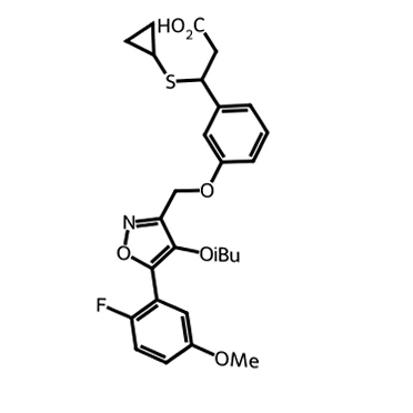 COc1ccc(F)c(-c2onc(COc3cccc(C(CC(=O)O)SC4CC4)c3)c2OCC(C)C)c1